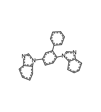 c1ccc(-c2cc(-n3cnc4ccccc43)ccc2-n2cnc3ccccc32)cc1